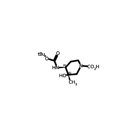 CC(C)(C)OC(=O)N[C@H]1CCN(C(=O)O)C[C@]1(C)O